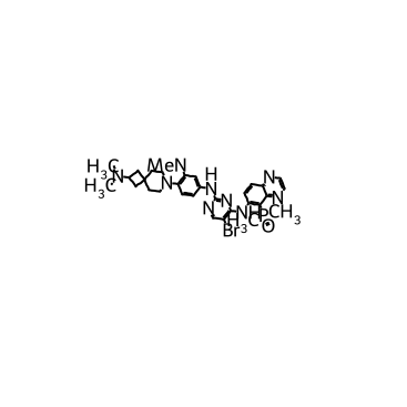 CNc1cc(Nc2ncc(Br)c(Nc3ccc4nccnc4c3P(C)(C)=O)n2)ccc1N1CCC2(CC1)CC(N(C)C)C2